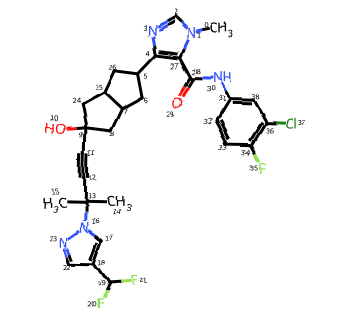 Cn1cnc(C2CC3CC(O)(C#CC(C)(C)n4cc(C(F)F)cn4)CC3C2)c1C(=O)Nc1ccc(F)c(Cl)c1